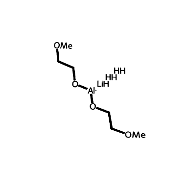 COCC[O][Al][O]CCOC.[HH].[HH].[LiH]